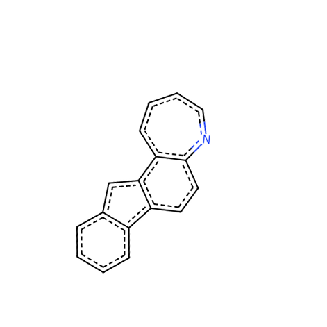 c1ccc2c(ccc3c4ccccc4cc23)nc1